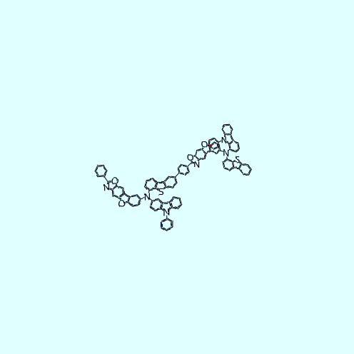 c1ccc(-c2nc3cc4oc5ccc(N(c6ccc7c(c6)c6ccccc6n7-c6ccccc6)c6cccc7c6sc6ccc(-c8ccc(-c9nc%10cc%11c(cc%10o9)oc9ccc(N(c%10cccc%12c%10sc%10ccccc%10%12)c%10cccc%12c%13ccccc%13n(-c%13ccccc%13)c%10%12)cc9%11)cc8)cc67)cc5c4cc3o2)cc1